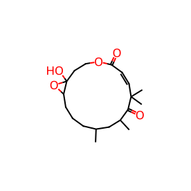 CC1CCCC2OC2(O)CCOC(=O)C=CC(C)(C)C(=O)C(C)C1